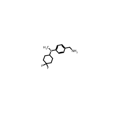 CN(c1ccc(CN)cc1)C1CCC(F)(F)CC1